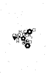 CC(C)(O[C@@H]1C[C@H](S(=O)(=O)c2ccccc2Cl)C[C@H]1C(=O)NC1(C#N)CC1)c1ccc(Cl)cc1